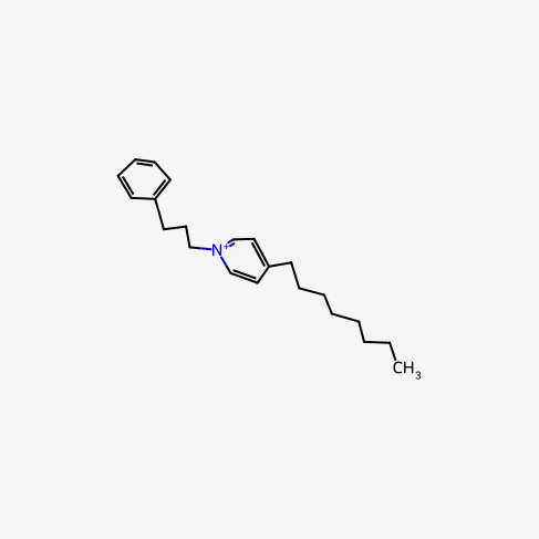 CCCCCCCCc1cc[n+](CCCc2ccccc2)cc1